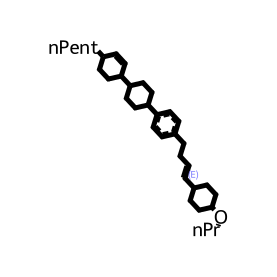 CCCCCC1C=CC(C2CCC(c3ccc(CC/C=C/C4CCC(OCCC)CC4)cc3)CC2)CC1